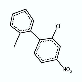 Cc1ccccc1-c1ccc([N+](=O)[O-])cc1Cl